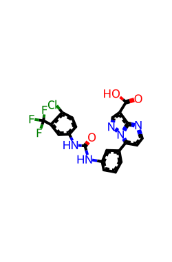 O=C(Nc1cccc(-c2ccnc3c(C(=O)O)cnn23)c1)Nc1ccc(Cl)c(C(F)(F)F)c1